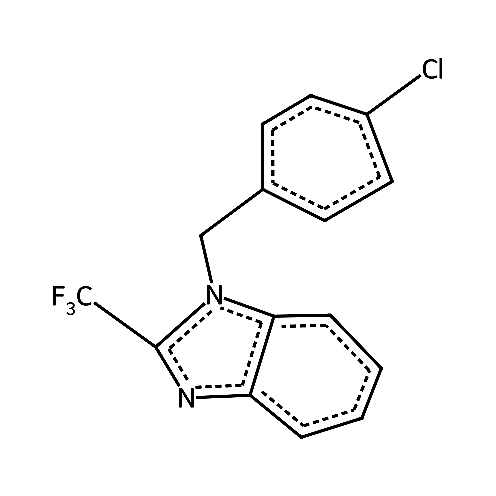 FC(F)(F)c1nc2ccccc2n1Cc1ccc(Cl)cc1